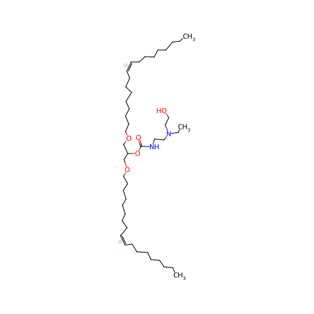 CCCCCCCC/C=C\CCCCCCCCOCC(COCCCCCCCC/C=C\CCCCCCCC)OC(=O)NCCN(CC)CCO